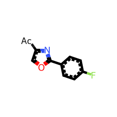 CC(=O)c1coc(-c2ccc(F)cc2)n1